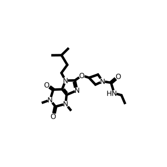 CCNC(=O)N1CC(Oc2nc3c(c(=O)n(C)c(=O)n3C)n2CCC(C)C)C1